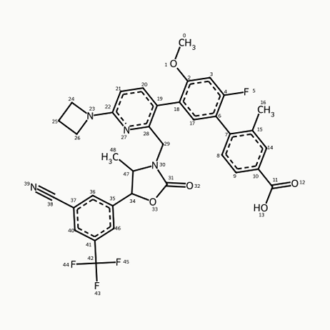 COc1cc(F)c(-c2ccc(C(=O)O)cc2C)cc1-c1ccc(N2CCC2)nc1CN1C(=O)OC(c2cc(C#N)cc(C(F)(F)F)c2)C1C